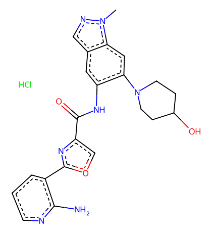 Cl.Cn1ncc2cc(NC(=O)c3coc(-c4cccnc4N)n3)c(N3CCC(O)CC3)cc21